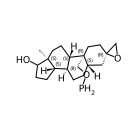 C[C@]12CC[C@H]3[C@@H](CC[C@H]4C[C@]5(CC[C@@]43COP)CO5)[C@@H]1CCC2O